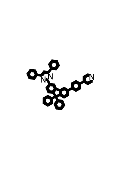 c1ccc(-c2cc(-c3ccccc3)nc(-c3ccc4c(c3)-c3cc(-c5ccc(-c6ccncc6)cc5)ccc3C4(c3ccccc3)c3ccccc3)n2)cc1